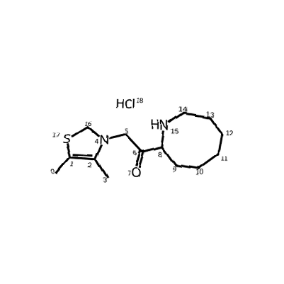 CC1=C(C)N(CC(=O)C2CCCCCCN2)CS1.Cl